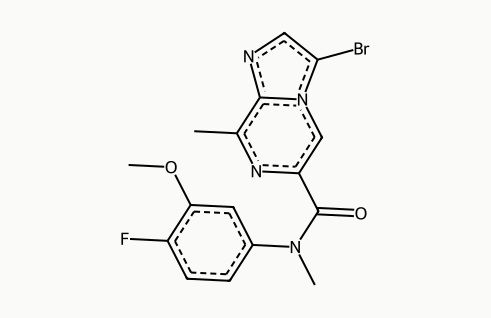 COc1cc(N(C)C(=O)c2cn3c(Br)cnc3c(C)n2)ccc1F